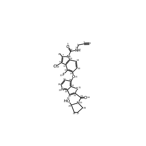 C#CCNC(=O)n1c(C)c(Cl)c2c(F)c(Oc3ccnc4cc(C(=O)N5CCCC5O)sc34)ccc21